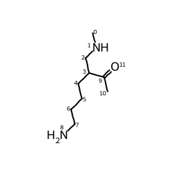 CNCC(CCCCN)C(C)=O